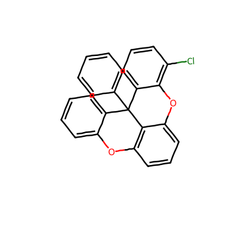 Clc1cccc2c1Oc1cccc3c1C2(c1ccccc1)c1ccccc1O3